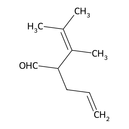 C=CCC(C=O)C(C)=C(C)C